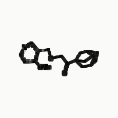 COc1ccncc1COCC(=O)C12CC3CC(C1)C(C3)C2